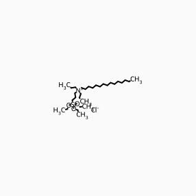 CCCCCCCCCCCCCCC[N+](CCC)(CCC)CCC[Si](OCC)(OCC)OCC.[Cl-]